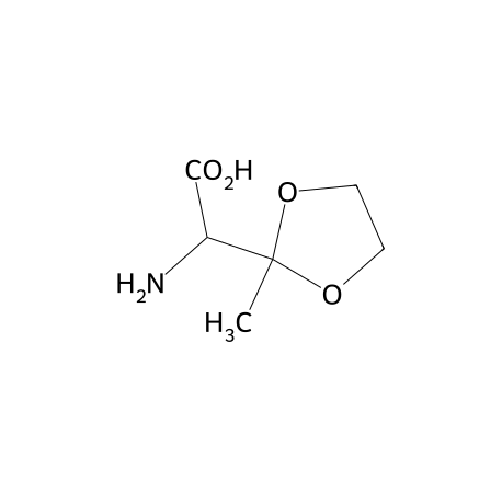 CC1(C(N)C(=O)O)OCCO1